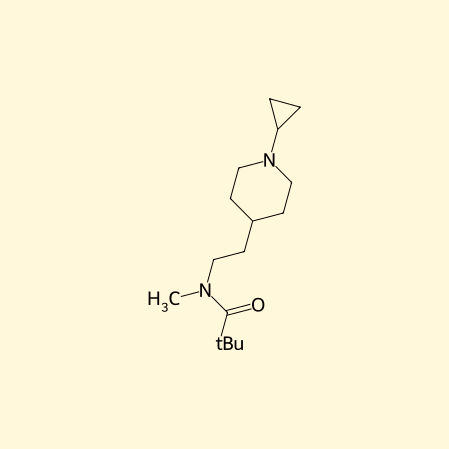 CN(CCC1CCN(C2CC2)CC1)C(=O)C(C)(C)C